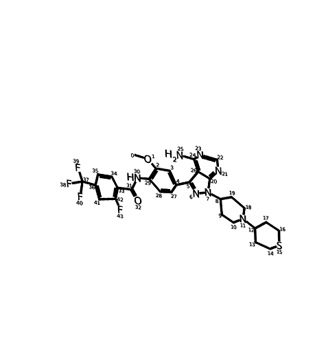 COc1cc(-c2nn(C3CCN(C4CCSCC4)CC3)c3ncnc(N)c23)ccc1NC(=O)c1ccc(C(F)(F)F)cc1F